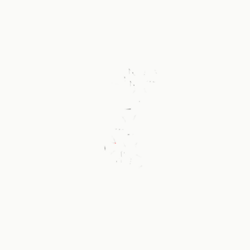 O=P(c1ccccc1)(c1ccccc1)c1cccc2c(-c3ccc(-c4ccc5c6ccccc6c6nc7c(n6c5c4)C=CCC7)cc3)cccc12